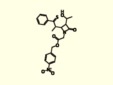 CC(O)C1C(=O)N(CC(=O)OCc2ccc([N+](=O)[O-])cc2)C1C(C)C(=S)c1ccccc1